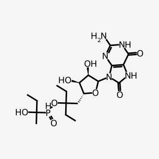 CCC(CC)(C[C@H]1OC(n2c(=O)[nH]c3c(=O)[nH]c(N)nc32)[C@H](O)[C@@H]1O)O[PH](=O)C(C)(O)CC